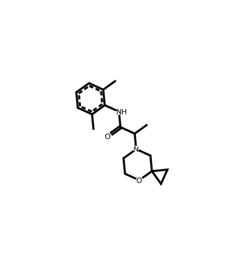 Cc1cccc(C)c1NC(=O)C(C)N1CCOC2(CC2)C1